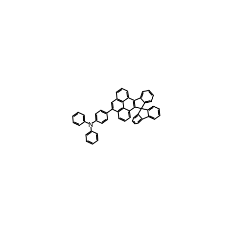 c1ccc(N(c2ccccc2)c2ccc(-c3cc4cccc5c6c(c7cccc3c7c45)C3(c4ccccc4-c4ccccc43)c3ccccc3-6)cc2)cc1